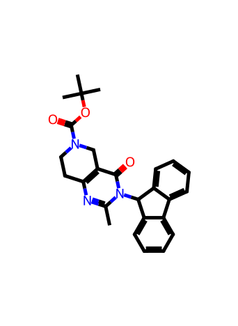 Cc1nc2c(c(=O)n1C1c3ccccc3-c3ccccc31)CN(C(=O)OC(C)(C)C)CC2